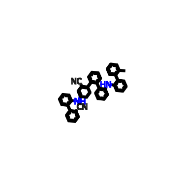 Cc1ccccc1-c1ccccc1Nc1ccccc1-c1ccccc1C1=C(C#N)C=C(Nc2ccccc2-c2ccccc2C#N)CC1